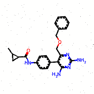 CC1CC1C(=O)Nc1ccc(-c2c(N)nc(N)nc2COCc2ccccc2)cc1